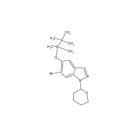 CC(C)(C)[Si](C)(C)Oc1cc2cnn(C3CCCCO3)c2cc1Br